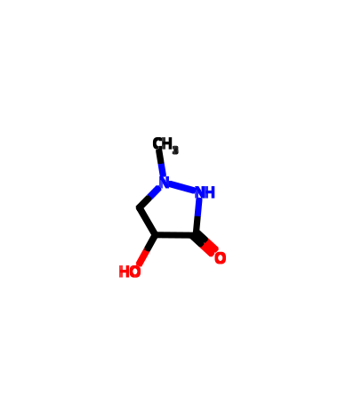 CN1CC(O)C(=O)N1